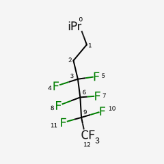 CC(C)CCC(F)(F)C(F)(F)C(F)(F)C(F)(F)F